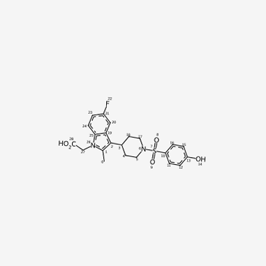 Cc1c(C2CCN(S(=O)(=O)c3ccc(O)cc3)CC2)c2cc(F)ccc2n1CC(=O)O